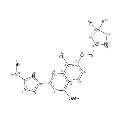 COc1cc(-c2csc(NC(C)C)n2)nc2c(Cl)c(OC[C@@H]3CC(F)(F)CN3)ccc12